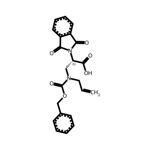 C=CCN(C[C@@H](C(=O)O)N1C(=O)c2ccccc2C1=O)C(=O)OCc1ccccc1